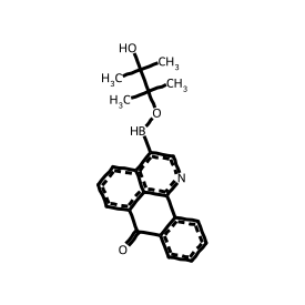 CC(C)(O)C(C)(C)OBc1cnc2c3c(cccc13)C(=O)c1ccccc1-2